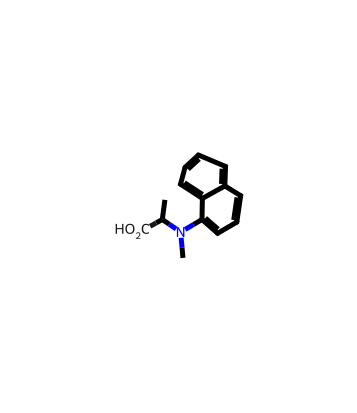 CC(C(=O)O)N(C)c1cccc2ccccc12